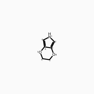 [c]1[nH]cc2c1OCCO2